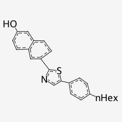 CCCCCCc1ccc(-c2cnc(-c3ccc4cc(O)ccc4c3)s2)cc1